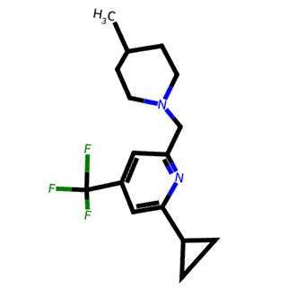 CC1CCN(Cc2cc(C(F)(F)F)cc(C3CC3)n2)CC1